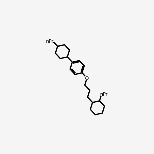 CCCC1CCC(c2ccc(OCCCC3CCCCC3CCC)cc2)CC1